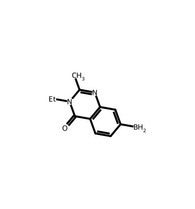 Bc1ccc2c(=O)n(CC)c(C)nc2c1